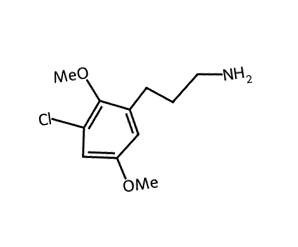 COc1cc(Cl)c(OC)c(CCCN)c1